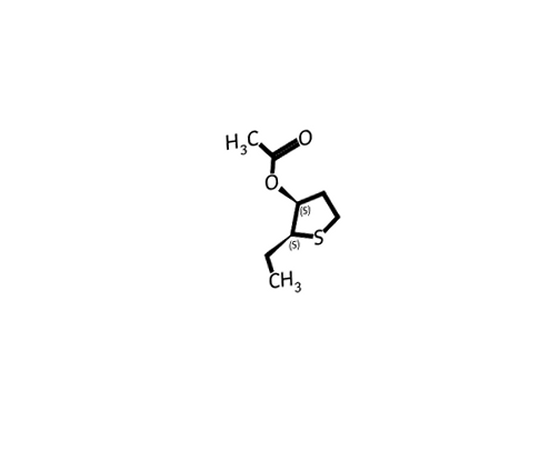 CC[C@@H]1SCC[C@@H]1OC(C)=O